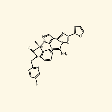 C[C@](C(=O)NCc1ccc(F)cn1)(c1ccccc1)n1ncc2c1nc(N)n1nc(-c3ccco3)nc21